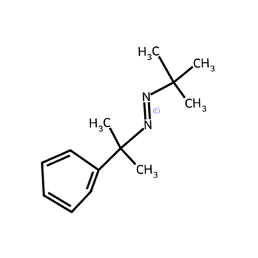 CC(C)(C)/N=N/C(C)(C)c1ccccc1